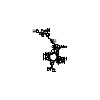 CC[C@H]1OC(=O)[C@H](C)[C@@H](O[C@H]2C[C@@](C)(OC)[C@@H](OC(=O)CCNCCCc3ccc4c(c3)c(=O)c(C(=O)O)cn4N(C)C)[C@H](C)O2)[C@H](C)[C@@H](O[C@@H]2O[C@H](C)C[C@H](N(C)C)[C@H]2O)[C@](C)(O)C[C@@H](C)/C(=N\OCCN(CC)CC)[C@@H](C)[C@@H](O)[C@]1(C)O